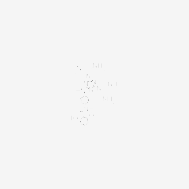 COc1cccc(O)c1C(=O)Nc1ccc(Nc2nc(N3CC(N)CC(N)C3)nc(N3CC(N)CC(N)C3)n2)cc1